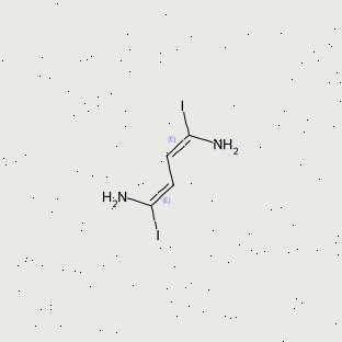 N/C(I)=C\C=C(/N)I